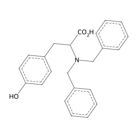 O=C(O)C(Cc1ccc(O)cc1)N(Cc1ccccc1)Cc1ccccc1